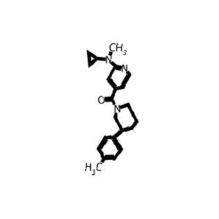 Cc1ccc(C2CCCN(C(=O)c3ccnc(N(C)C4CC4)c3)C2)cc1